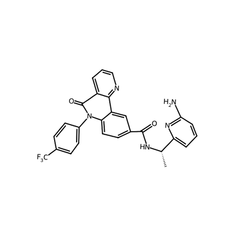 C[C@H](NC(=O)c1ccc2c(c1)c1ncccc1c(=O)n2-c1ccc(C(F)(F)F)cc1)c1cccc(N)n1